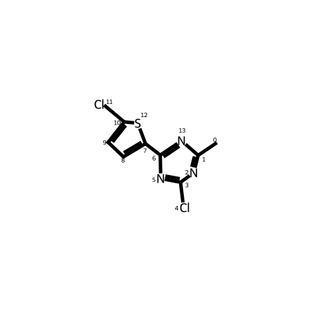 Cc1nc(Cl)nc(-c2ccc(Cl)s2)n1